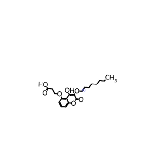 CCCCCC/C=C/Oc1c(O)c2c(OCCC(=O)O)cccc2oc1=O